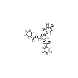 O=C(OC[C@H]1O[C@@H](n2ccc(=O)[nH]c2=O)CC1OC(=O)c1ccccc1)c1ccccc1